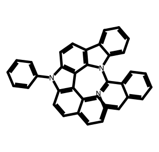 c1ccc(-n2c3ccc4ccccc4c3c3c2ccc2c4ccccc4n(-c4nccc5ccccc45)c23)cc1